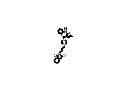 Cc1cc2c(s1)Nc1ccccc1N=C2N1CCN(CCCCN2C(=O)CC3(CCCCC3)C2=O)CC1